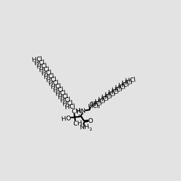 CC(C)(O)[C@@H](NCC(F)(F)F)C(N)=O.Cl.Cl.Cl.Cl.Cl.Cl.Cl.Cl.Cl.Cl.Cl.Cl.Cl.Cl.Cl.Cl.Cl.Cl.Cl.Cl.Cl.Cl.Cl.Cl.Cl.Cl.Cl